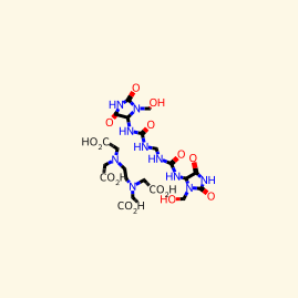 O=C(NCNC(=O)NC1C(=O)NC(=O)N1CO)NC1C(=O)NC(=O)N1CO.O=C(O)CN(CCN(CC(=O)O)CC(=O)O)CC(=O)O